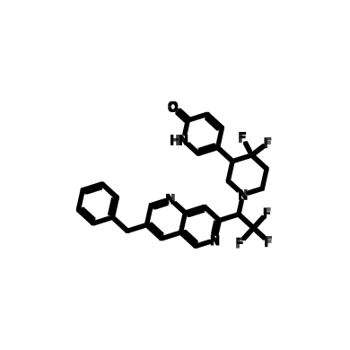 O=c1ccc(C2CN(C(c3cc4ncc(Cc5ccccc5)cc4cn3)C(F)(F)F)CCC2(F)F)c[nH]1